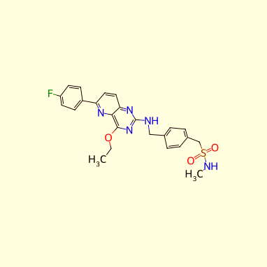 CCOc1nc(NCc2ccc(CS(=O)(=O)NC)cc2)nc2ccc(-c3ccc(F)cc3)nc12